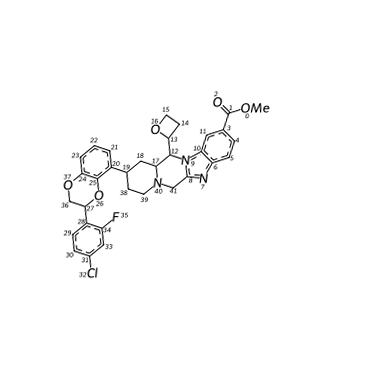 COC(=O)c1ccc2nc3n(c2c1)C(C1CCO1)C1CC(c2cccc4c2OC(c2ccc(Cl)cc2F)CO4)CCN1C3